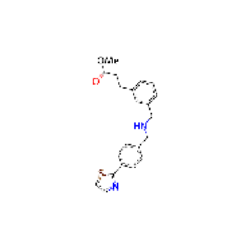 COC(=O)CCc1cccc(CNCc2ccc(-c3nccs3)cc2)c1